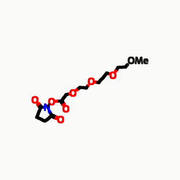 COCCOCCOCCOCC(=O)ON1C(=O)CCC1=O